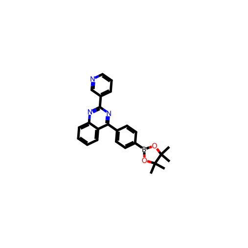 CC1(C)OB(c2ccc(-c3nc(-c4cccnc4)nc4ccccc34)cc2)OC1(C)C